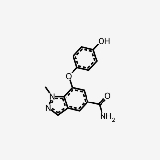 Cn1ncc2cc(C(N)=O)cc(Oc3ccc(O)cc3)c21